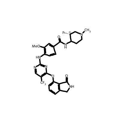 COc1cc(C(=O)NC2CCN(C)C[C@H]2F)ccc1Nc1ncc(C(F)(F)F)c(Oc2cccc3c2C(=O)NC3)n1